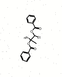 CCCC(C)(OC(=O)c1ccccc1)C(CC)OC(=O)c1ccccc1